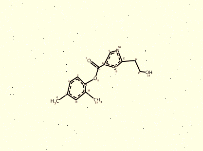 Cc1ccc(OC(=O)c2cnc(CCO)s2)c(C)c1